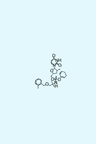 C=P(NC(C)(C)COCc1ccccc1C)(OC[C@@H]1C[C@H](C)[C@H](n2ccc(=O)[nH]c2=O)O1)OC1=CCCC=C1